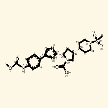 COC(=O)Nc1ccc(-c2cnc([C@@H]3C[C@H](C4CCN(S(C)(=O)=O)CC4)CN3C(=O)O)[nH]2)cc1